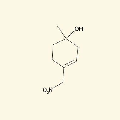 CC1(O)CC=C(C[N+](=O)[O-])CC1